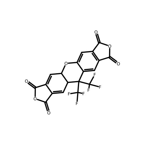 O=C1OC(=O)C2=CC3C(C=C12)Oc1cc2c(cc1C3(C(F)(F)F)C(F)(F)F)C(=O)OC2=O